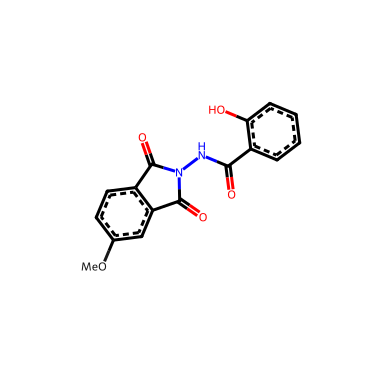 COc1ccc2c(c1)C(=O)N(NC(=O)c1ccccc1O)C2=O